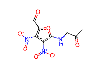 CC(=O)CNc1oc(C=O)c([N+](=O)[O-])c1[N+](=O)[O-]